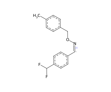 Cc1ccc(CO/N=[C]\c2ccc(C(F)F)cc2)cc1